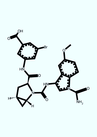 COc1ccc2c(c1)c(NC(=O)N1[C@@H]3C[C@H]3C[C@H]1C(=O)Nc1cc(Br)cc(C(=O)O)c1)cn2C(N)=O